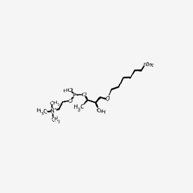 CCCCCCCCCCCCCCCCOCC(O)C(C)OP(O)OCC[N+](C)(C)C